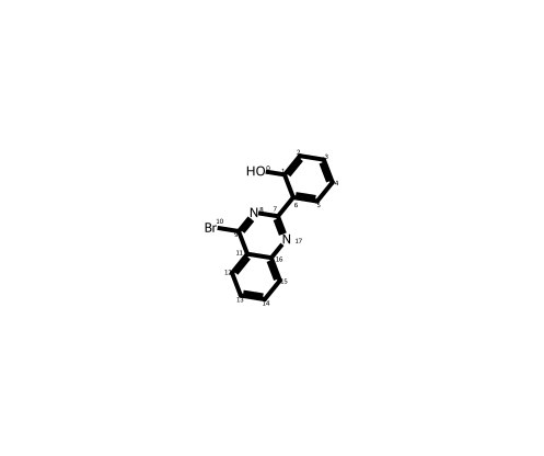 Oc1ccccc1-c1nc(Br)c2ccccc2n1